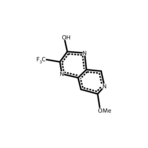 COc1cc2nc(C(F)(F)F)c(O)nc2cn1